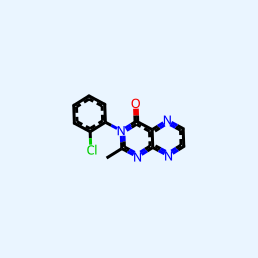 Cc1nc2nccnc2c(=O)n1-c1ccccc1Cl